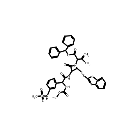 C=C(C)C(C(=O)OC(c1ccccc1)c1ccccc1)N1C(=O)C(NC(=O)C(NC(=O)OC(C)(C)C)c2cccc(NS(C)(=O)=O)c2)C1SSc1nc2ccccc2s1